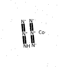 [Co].[N-]=[N+]=N.[N-]=[N+]=[N-]